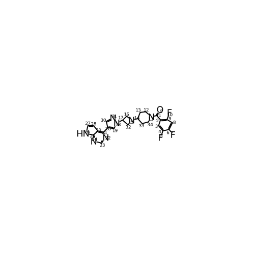 O=C(c1cc(F)c(F)cc1F)N1CCC(N2CC(n3cc(-c4ncnc5[nH]ccc45)cn3)C2)CC1